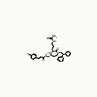 N=C(N)NCCC[C@@H]1N[C@H](CNC(=O)/C=C/c2ccc(Cl)cc2)CCN(CC(c2ccccc2)c2ccccc2)C1=O